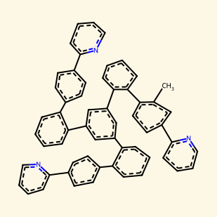 Cc1cc(-c2ccccn2)ccc1-c1ccccc1-c1cc(-c2ccccc2-c2ccc(-c3ccccn3)cc2)cc(-c2ccccc2-c2ccc(-c3ccccn3)cc2)c1